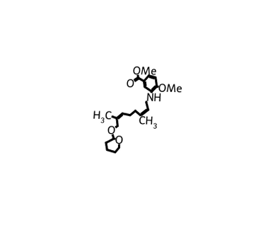 COC(=O)c1ccc(OC)c(NCC=C(C)CCC=C(C)COC2CCCCO2)c1